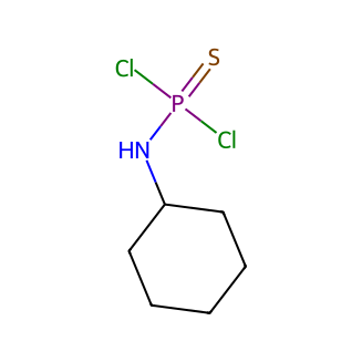 S=P(Cl)(Cl)NC1CCCCC1